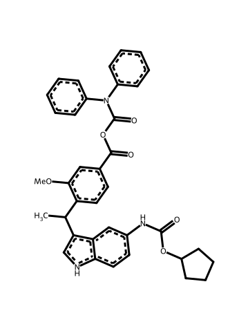 COc1cc(C(=O)OC(=O)N(c2ccccc2)c2ccccc2)ccc1C(C)c1c[nH]c2ccc(NC(=O)OC3CCCC3)cc12